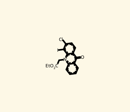 CCOC(=O)Cn1c2ccccc2c(=O)c2ccc(Cl)c(I)c21